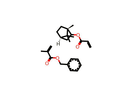 C=C(C)C(=O)OCc1ccccc1.C=CC(=O)OC1C[C@H]2CC[C@@]1(C)C2(C)C